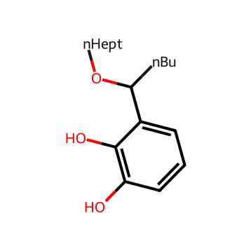 CCCCCCCOC(CCCC)c1cccc(O)c1O